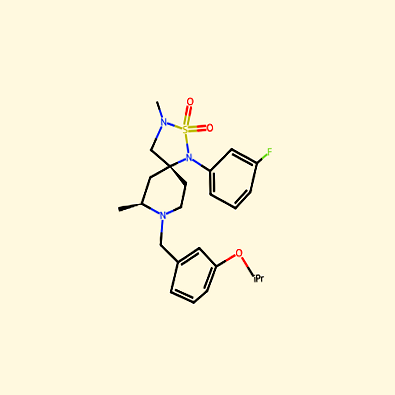 CC(C)Oc1cccc(CN2CC[C@@]3(C[C@@H]2C)CN(C)S(=O)(=O)N3c2cccc(F)c2)c1